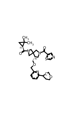 CC1(C)C[C@@H]1C(=O)N1CC2(CN(C(=O)c3cncs3)C[C@@H]2COCc2cccc(C3CCOCC3)n2)C1